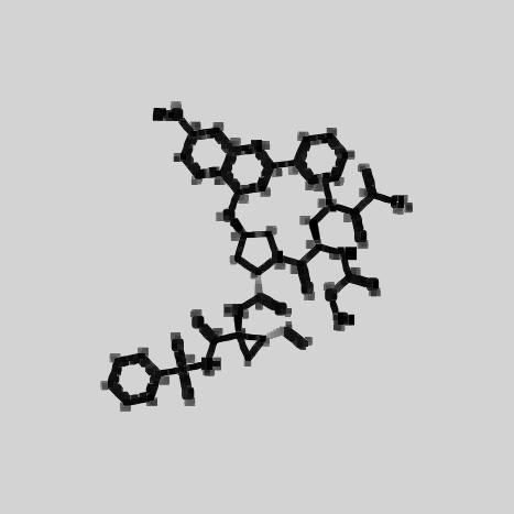 C=C[C@@H]1C[C@]1(NC(=O)[C@@H]1C[C@@H](Oc2cc(-c3ccccc3)nc3cc(OC)ccc23)CN1C(=O)[C@@H](CN(C)C(=O)C(=C)C(F)(F)F)NC(=O)OC(C)(C)C)C(=O)NS(=O)(=O)c1ccccc1